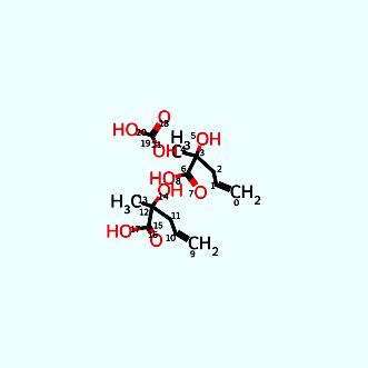 C=CCC(C)(O)C(=O)O.C=CCC(C)(O)C(=O)O.O=C(O)O